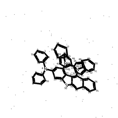 c1ccc(N(c2ccccc2)c2cc(N(c3ccccc3)c3ccccc3)c3c(c2)sc2cc4ccccc4c(N(c4ccccc4)c4ccccc4)c23)cc1